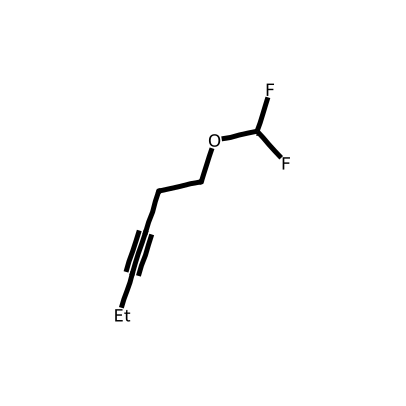 CCC#CCCO[C](F)F